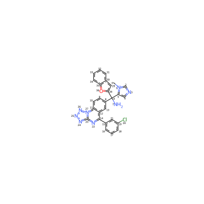 Cn1cncc1C(N)(c1ccc2c(c1)c(-c1cccc(Cl)c1)nc1nnnn12)c1cc2ccccc2o1